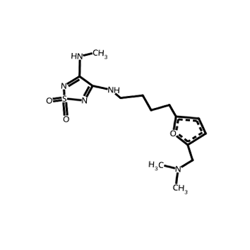 CNC1=NS(=O)(=O)N=C1NCCCCc1ccc(CN(C)C)o1